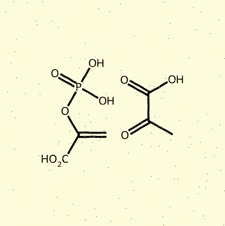 C=C(OP(=O)(O)O)C(=O)O.CC(=O)C(=O)O